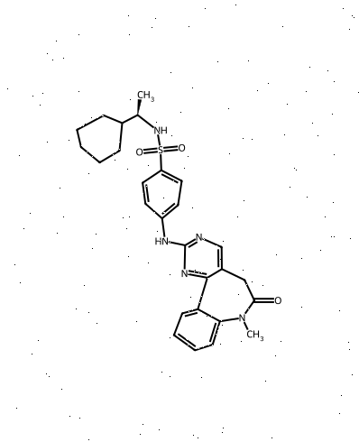 C[C@@H](NS(=O)(=O)c1ccc(Nc2ncc3c(n2)-c2ccccc2N(C)C(=O)C3)cc1)C1CCCCC1